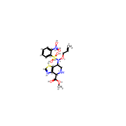 C=CCON(C1CNC(C(=O)OC)c2ncsc21)S(=O)(=O)c1ccccc1[N+](=O)[O-]